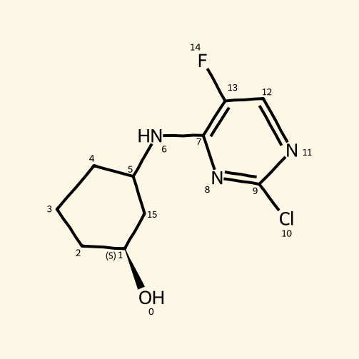 O[C@H]1CCCC(Nc2nc(Cl)ncc2F)C1